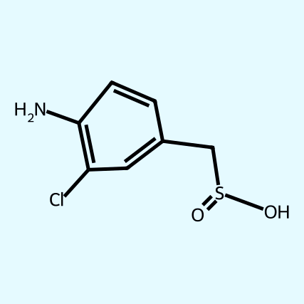 Nc1ccc(CS(=O)O)cc1Cl